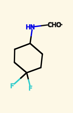 O=[C]NC1CCC(F)(F)CC1